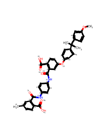 COc1ccc(C(C)(C)c2ccc(Oc3ccc(C(=O)O)c(C(=O)Nc4ccc(NC(=O)c5cc(C)ccc5C(=O)O)cc4)c3)cc2)cc1